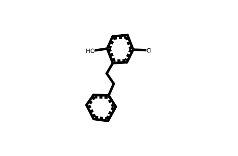 Oc1ccc(Cl)cc1CCc1ccccc1